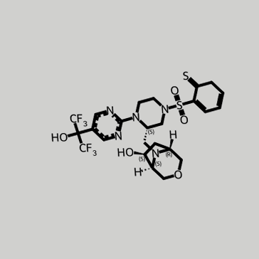 O=S(=O)(C1=CC=CCC1=S)N1CCN(c2ncc(C(O)(C(F)(F)F)C(F)(F)F)cn2)[C@@H](CN2[C@H]3COC[C@H]2[C@@H](O)C3)C1